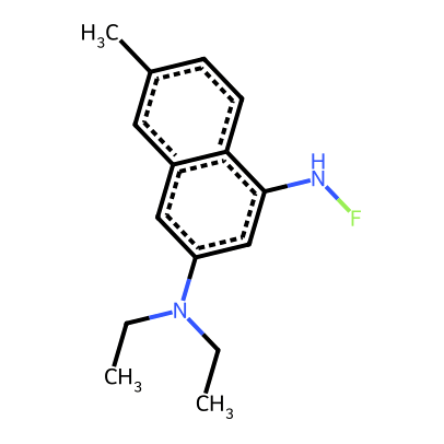 CCN(CC)c1cc(NF)c2ccc(C)cc2c1